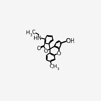 CCNc1cccc2c1C(=O)OC21c2ccc(C)cc2Oc2cc(O)ccc21